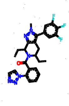 CCC1Cc2c(nn(C)c2-c2cc(F)c(F)c(F)c2)C(CC)N1C(=O)c1ccccc1-n1ccnn1